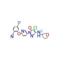 N#Cc1ccc(C2CC2)cc1Oc1ccc(-n2ncc(NC[C@@]3(F)CCCOC3)c(Cl)c2=O)cn1